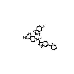 O=C(c1cnn2cc(-c3ccccn3)ccc12)N1CCc2[nH]cnc2[C@H]1c1nc2cc(F)ccc2o1